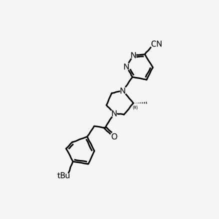 C[C@@H]1CN(C(=O)Cc2ccc(C(C)(C)C)cc2)CCN1c1ccc(C#N)nn1